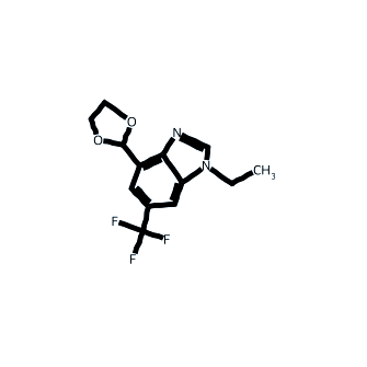 CCn1cnc2c(C3OCCO3)cc(C(F)(F)F)cc21